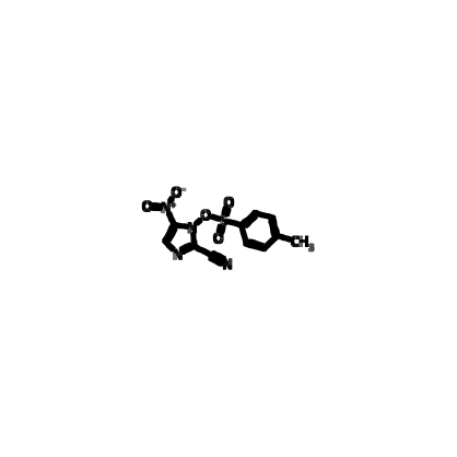 Cc1ccc(S(=O)(=O)On2c([N+](=O)[O-])cnc2C#N)cc1